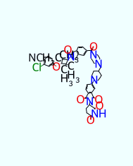 CC1(C)[C@H](Oc2ccc(C#N)c(Cl)c2)C(C)(C)[C@H]1N1Cc2cc(C(=O)N3CCN(CC4CCN(c5ccc6c(c5)C(=O)N(C5CCC(=O)NC5=O)C6=O)CC4)CC3)ccc2C1=O